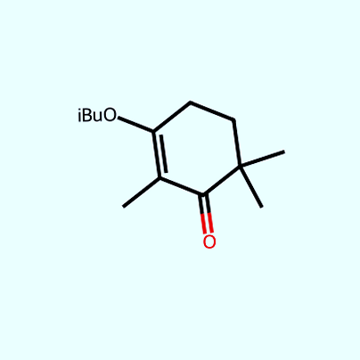 CC1=C(OCC(C)C)CCC(C)(C)C1=O